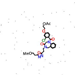 COCCc1nnc(CCN2Cc3ccccc3N(C(=O)c3ccc(OCCOC(C)=O)cc3Cl)CC2=O)o1